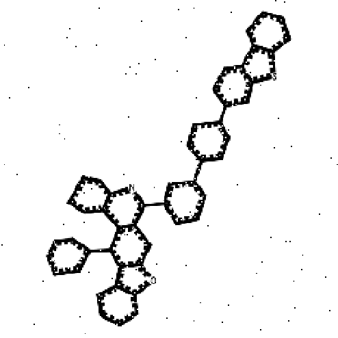 c1ccc(-c2c3c(cc4c(-c5cccc(-c6ccc(-c7ccc8c(c7)sc7ccccc78)cc6)c5)nc5ccccc5c24)oc2ccccc23)cc1